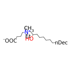 CCCCCCCCCCCCCCCCC(O)C[N+](C)(CC)CCCC(=O)[O-]